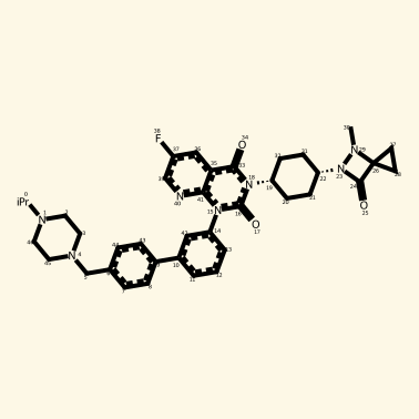 CC(C)N1CCN(Cc2ccc(-c3cccc(-n4c(=O)n([C@H]5CC[C@@H](N6C(=O)C7(CC7)N6C)CC5)c(=O)c5cc(F)cnc54)c3)cc2)CC1